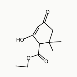 CCOC(=O)C1C(O)=CC(=O)CC1(C)C